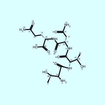 C[C@@H](O)[C@H](N)C(=O)N[C@H](C(=O)N[C@@H](CC(N)=O)C(=O)N[C@@H](CCC(N)=O)C(=O)O)[C@@H](C)O